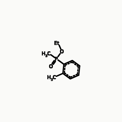 CCOP(C)(=O)c1ccccc1C